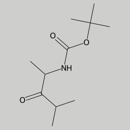 CC(C)C(=O)C(C)NC(=O)OC(C)(C)C